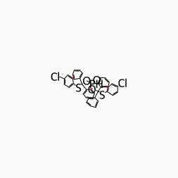 O=[PH](OC(Sc1ccc(Cl)cc1)(c1ccccc1)c1ccccc1)OC(Sc1ccc(Cl)cc1)(c1ccccc1)c1ccccc1